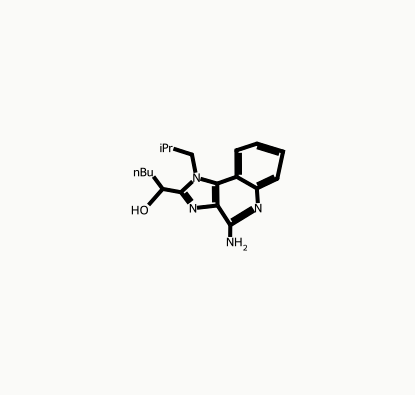 CCCCC(O)c1nc2c(N)nc3ccccc3c2n1CC(C)C